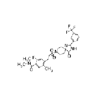 Cc1cc(C(=O)N(C)C)c(F)cc1CCS(=O)(=O)N1CCC2(CC1)N=C(c1cccc(C(F)(F)F)c1)NC2=O